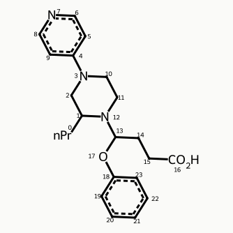 CCCC1CN(c2ccncc2)CCN1C(CCC(=O)O)Oc1ccccc1